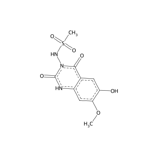 COc1cc2[nH]c(=O)n(NS(C)(=O)=O)c(=O)c2cc1O